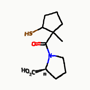 CC1(C(=O)N2CCC[C@H]2C(=O)O)CCCC1S